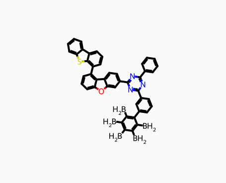 Bc1c(B)c(B)c(-c2cccc(-c3nc(-c4ccccc4)nc(-c4ccc5c(c4)oc4cccc(-c6cccc7c6sc6ccccc67)c45)n3)c2)c(B)c1B